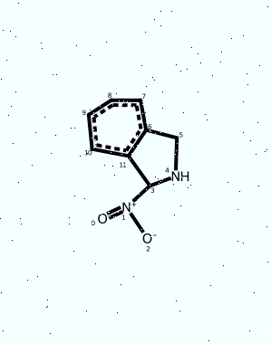 O=[N+]([O-])C1NCc2ccccc21